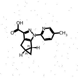 Cc1ccc(-n2nc(C(=O)O)c3c2[C@@H]2C[C@@H]2C3)nc1